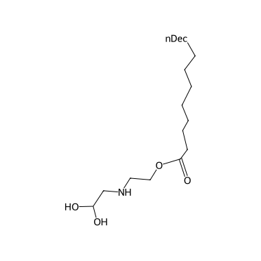 CCCCCCCCCCCCCCCCCC(=O)OCCNCC(O)O